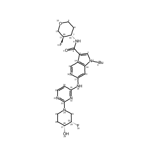 CCC(C)n1cc(C(=O)N[C@H]2CCOC[C@@H]2F)c2cnc(Nc3ccnc(N4CC[C@@H](O)[C@@H](F)C4)n3)cc21